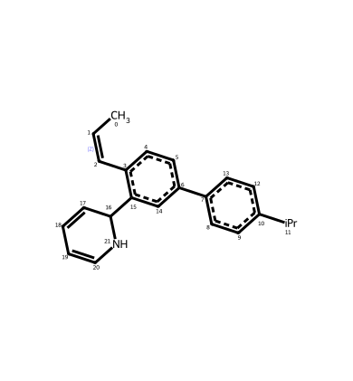 C/C=C\c1ccc(-c2ccc(C(C)C)cc2)cc1C1C=CC=CN1